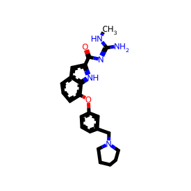 CNC(N)=NC(=O)c1cc2cccc(Oc3cccc(CN4CCCCC4)c3)c2[nH]1